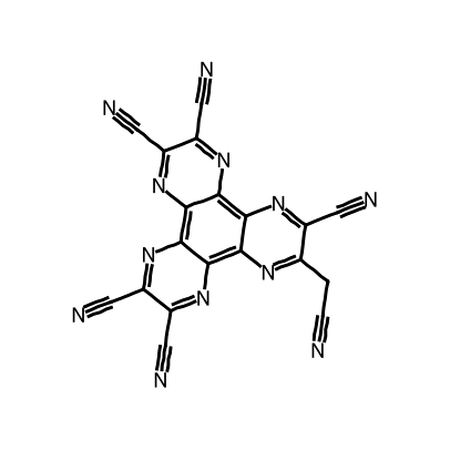 N#CCc1nc2c3nc(C#N)c(C#N)nc3c3nc(C#N)c(C#N)nc3c2nc1C#N